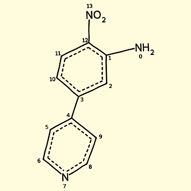 Nc1cc(-c2ccncc2)ccc1[N+](=O)[O-]